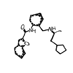 C[C@@H](CC1CCCC1)NCc1ccccc1NC(=O)c1cc2ccccc2o1